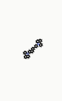 c1ccc(N(c2ccc(-c3ccc4c(ccc5cc(N(c6ccccc6)c6cccc7ccccc67)ccc54)c3)cc2)c2cccc3ccccc23)cc1